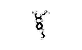 CCOC(=O)C(CC)Oc1ccc(OCCCl)cc1